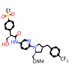 CCS(=O)(=O)c1ccc([C@H](CO)C(=O)Nc2ccc(N3CC(Cc4ccc(C(F)(F)F)cc4)C[C@H]3COC)nc2)cc1